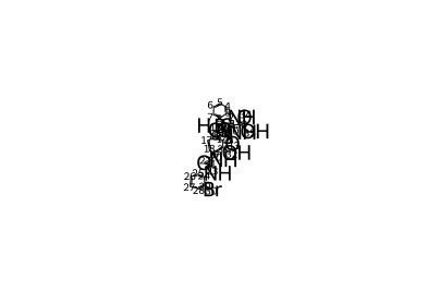 CC(Nc1ccccc1Br)(NS(=O)(=O)c1c(Cl)ccc(NC(=O)Nc2ccccc2Br)c1O)C(=O)O